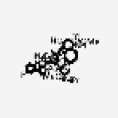 COC(=O)NC1C(=O)C[C@H](O)/C(=C/CS(C)(=S)=S)C2=C1C#C/C=C\C#C[C@@H]2OC1OC(C)C(SC)(C(=O)c2nccc3c2[nH]c2ccc(F)cc23)C(O)C1OC1CC(OC)C(NC(C)C)CO1